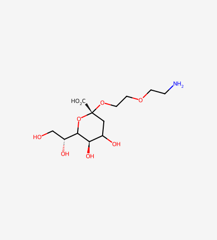 NCCOCCO[C@]1(C(=O)O)CC(O)[C@@H](O)C([C@H](O)CO)O1